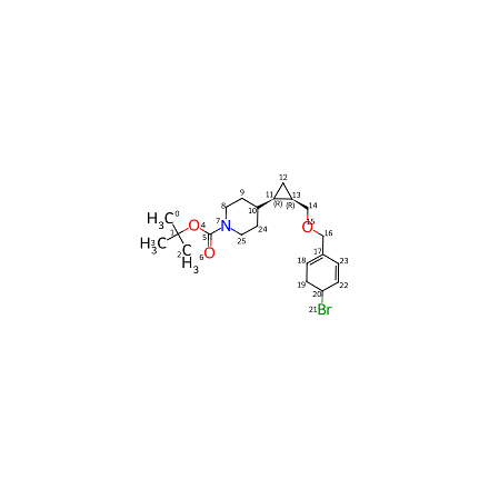 CC(C)(C)OC(=O)N1CCC([C@H]2C[C@H]2COCC2=CCC(Br)C=C2)CC1